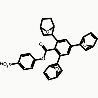 O=C(Oc1ccc(S(=O)(=O)O)cc1)c1c(-c2cc3ccc2o3)cc(-c2cc3ccc2o3)cc1C1CC2CCC1O2